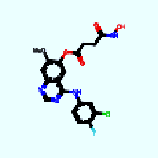 COc1cc2ncnc(Nc3ccc(F)c(Cl)c3)c2cc1OC(=O)CCC(=O)NO